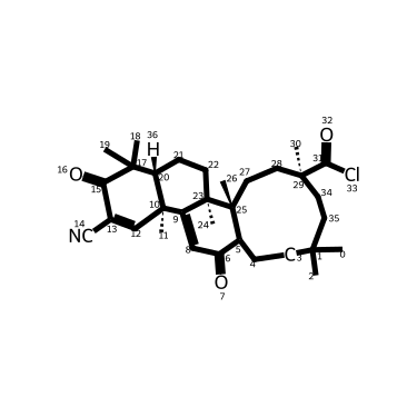 CC1(C)CCC2C(=O)C=C3[C@@]4(C)C=C(C#N)C(=O)C(C)(C)[C@@H]4CC[C@@]3(C)[C@]2(C)CC[C@@](C)(C(=O)Cl)CC1